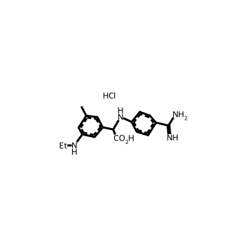 CCNc1cc(C)cc(C(Nc2ccc(C(=N)N)cc2)C(=O)O)c1.Cl